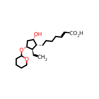 C=C[C@@H]1[C@@H](CCCC/C=C/C(=O)O)[C@@H](O)C[C@H]1OC1CCCCO1